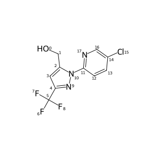 OCc1cc(C(F)(F)F)nn1-c1ccc(Cl)cn1